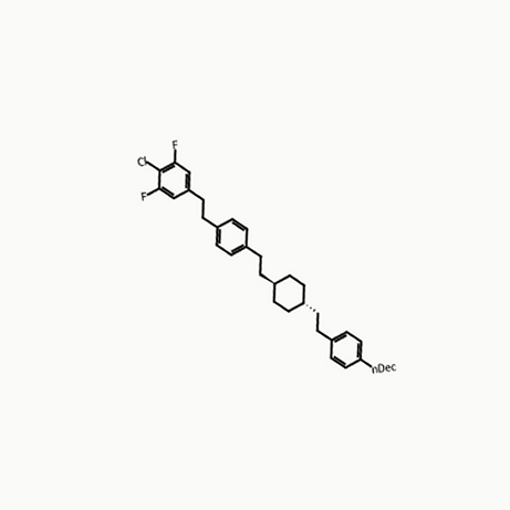 CCCCCCCCCCc1ccc(CC[C@H]2CC[C@H](CCc3ccc(CCc4cc(F)c(Cl)c(F)c4)cc3)CC2)cc1